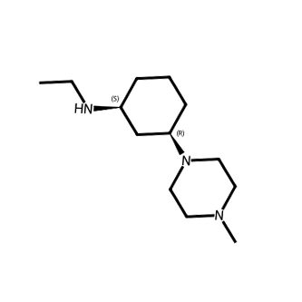 CCN[C@H]1CCC[C@@H](N2CCN(C)CC2)C1